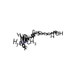 CNc1ccc(F)cc1/C(C=O)=C/c1[nH]c(C)c(NCCCN2CCN(C(=O)CCOCCOCCOCCOCCNCN3CC[C@H](O)C3)CC2)c1C